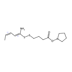 C/C=C\C=C(/N)SSCCCC(=O)ON1CCCC1